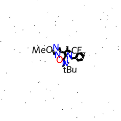 COc1cnc(-c2c(C)c(C(F)(F)F)n(Cc3ccccc3)c2C(=O)N(C)CC(C)(C)C)cn1